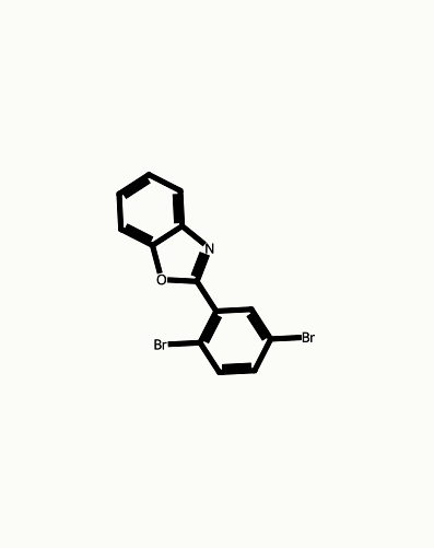 Brc1ccc(Br)c(-c2nc3ccccc3o2)c1